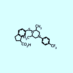 CC1CN(c2ccc(C(F)(F)F)cc2)CC(C)N1Sc1ccc2c(c1)C(C(=O)O)CC2